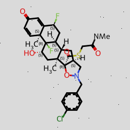 CNC(=O)CSC(=O)[C@@]12ON(Cc3ccc(Cl)cc3)C[C@@H]1C[C@H]1[C@@H]3C[C@H](F)C4=CC(=O)C=C[C@]4(C)[C@@]3(F)[C@@H](O)C[C@@]12C